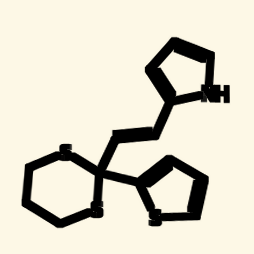 C(=CC1(c2cccs2)SCCCS1)c1ccc[nH]1